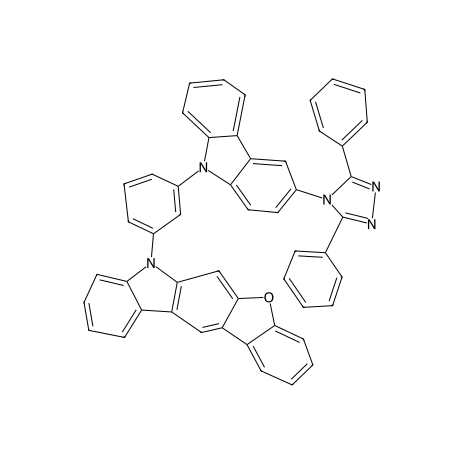 c1ccc(-c2nnc(-c3ccccc3)n2-c2ccc3c(c2)c2ccccc2n3-c2cccc(-n3c4ccccc4c4cc5c(cc43)oc3ccccc35)c2)cc1